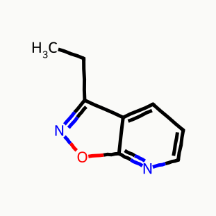 CCc1noc2ncccc12